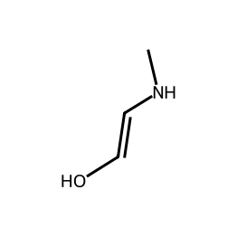 CNC=CO